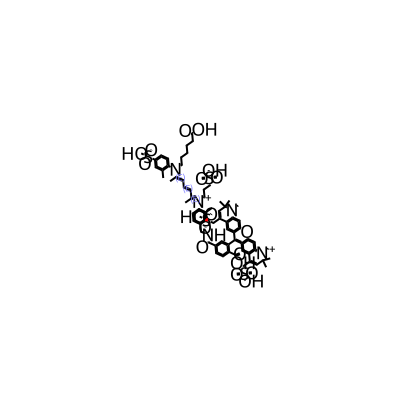 C\C(=C/C=C/C(C)=[N+](\CCCS(=O)(=O)O)c1ccc(CNC(=O)c2ccc(C(=O)O)c(C3=c4cc5c(cc4Oc4cc6c(cc43)C(CS(=O)(=O)O)=CC(C)(C)N6C)=[N+](C)C(C)(C)C=C5CS(=O)(=O)O)c2)cc1C)N(CCCCCC(=O)O)c1ccc(S(=O)(=O)O)cc1C